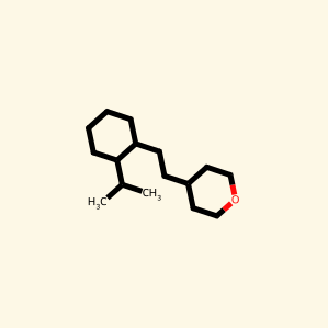 CC(C)C1CCCCC1CCC1CCOCC1